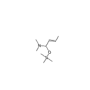 CC=CC(O[Si](C)(C)C)N(C)C